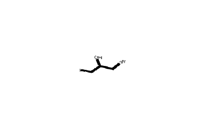 CCCCC(O)CI